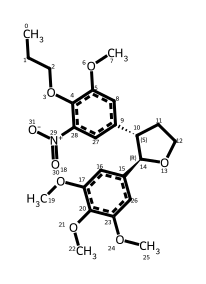 CCCOc1c(OC)cc([C@@H]2CCO[C@H]2c2cc(OC)c(OC)c(OC)c2)cc1[N+](=O)[O-]